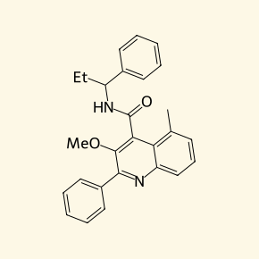 CCC(NC(=O)c1c(OC)c(-c2ccccc2)nc2cccc(C)c12)c1ccccc1